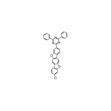 Clc1ccc2c(c1)oc1cc3c(cc12)oc1cc(-c2nc(-c4ccccc4)nc(-c4ccccc4)n2)ccc13